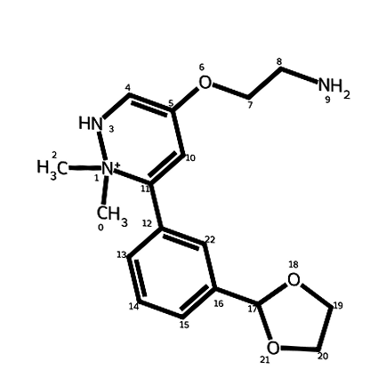 C[N+]1(C)NC=C(OCCN)C=C1c1cccc(C2OCCO2)c1